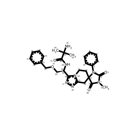 CN1C(=O)N(c2ccccc2)C2(CCn3c(nnc3[C@@H](COCc3ccccc3)NC(=O)C(C)(C)N)C2)C1=O